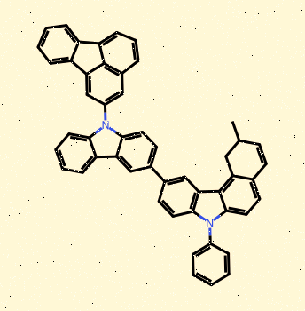 CC1C=Cc2ccc3c(c2C1)c1cc(-c2ccc4c(c2)c2ccccc2n4-c2cc4c5c(cccc5c2)-c2ccccc2-4)ccc1n3-c1ccccc1